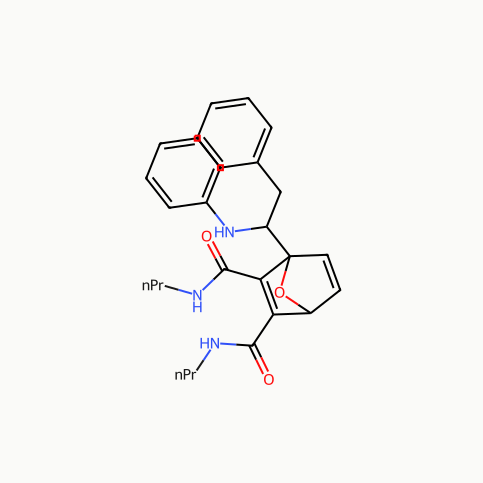 CCCNC(=O)C1=C(C(=O)NCCC)C2(C(Cc3ccccc3)Nc3ccccc3)C=CC1O2